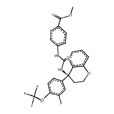 COC(=O)c1ccc(NC(=O)N[C@]2(c3ccc(OC(F)(F)F)c(F)c3)CCOc3cccnc32)cn1